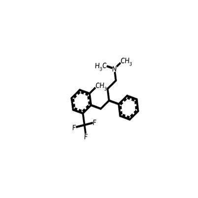 Cc1cccc(C(F)(F)F)c1CC(CCN(C)C)c1ccccc1